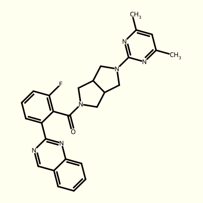 Cc1cc(C)nc(N2CC3CN(C(=O)c4c(F)cccc4-c4ncc5ccccc5n4)CC3C2)n1